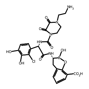 NCCN1CCN(C(=O)N[C@H](C(=O)N[C@H]2Cc3cccc(C(=O)O)c3OB2O)c2ccc(O)c(O)c2Cl)C(=O)C1=O